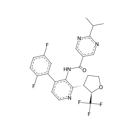 CC(C)c1ncc(C(=O)Nc2c(-c3cc(F)ccc3F)ccnc2[C@@H]2CCO[C@H]2C(F)(F)F)cn1